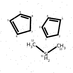 C1=CCC=C1.C1=CCC=C1.C[SiH2]C